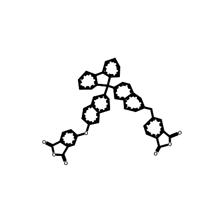 O=C1OC(=O)c2cc(Cc3ccc4cc(C5(c6ccc7cc(Oc8ccc9c(c8)C(=O)OC9=O)ccc7c6)c6ccccc6-c6ccccc65)ccc4c3)ccc21